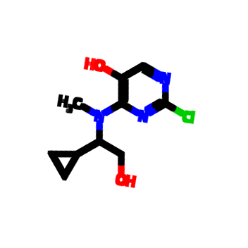 CN(c1nc(Cl)ncc1O)C(CO)C1CC1